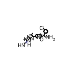 CN/C(=C\C=N)Nc1ncc(C)c(-c2cc3n(c2)C(=O)N(C(CN)c2cccc(Cl)c2)C3)n1